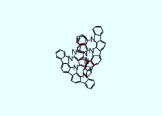 c1ccc(-c2nc(-n3c4ccccc4c4ccc5c6ccc7c8ccccc8n(-c8ccccc8)c7c6n(-c6ccccc6)c5c43)cc(-n3c4ccccc4c4ccc5c6ccc7c8ccccc8n(-c8ccccc8)c7c6n(-c6ccccc6)c5c43)n2)cc1